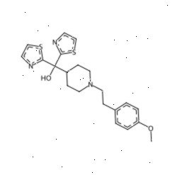 COc1ccc(CCN2CCC(C(O)(c3nccs3)c3nccs3)CC2)cc1